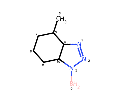 BN1N=NC2C(C)CCCC21